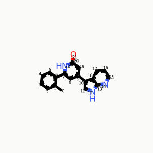 Cc1ccccc1-c1cc(-c2c[nH]c3ncccc23)cc(=O)[nH]1